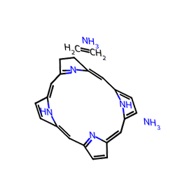 C1=Cc2cc3ccc(cc4nc(cc5ccc(cc1n2)[nH]5)CC4)[nH]3.C=C.N.N